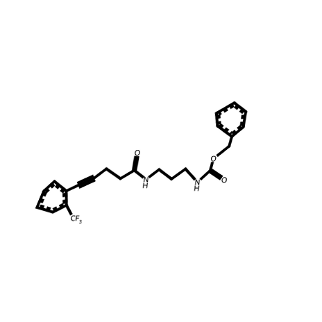 O=C(CCC#Cc1ccccc1C(F)(F)F)NCCCNC(=O)OCc1ccccc1